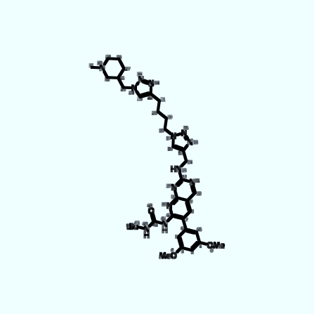 COc1cc(OC)cc(-c2cc3cnc(NCc4cn(CCCCc5cn(CC6CCCN(C)C6)nn5)nn4)nc3nc2NC(=O)NC(C)(C)C)c1